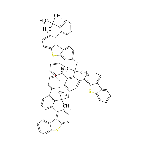 CC(C)(C)c1ccccc1-c1cccc2sc3cc(CC(C)(C)c4c(-c5ccccc5)cc(CC(C)(C)c5c(-c6ccccc6)cccc5-c5cccc6sc7ccccc7c56)cc4-c4cccc5c4sc4ccccc45)ccc3c12